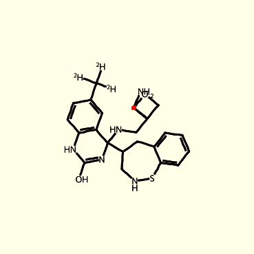 [2H]C([2H])([2H])c1ccc2c(c1)C(NCC1(CN)COC1)(C1CNSc3ccccc3C1)N=C(O)N2